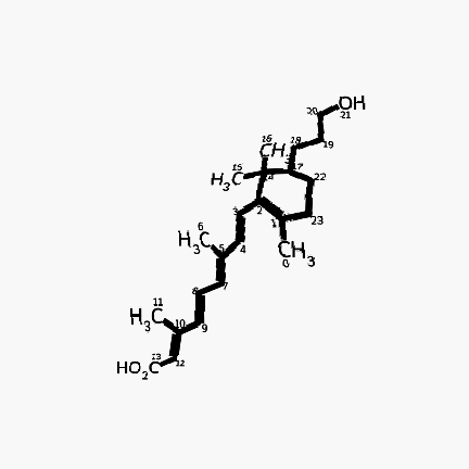 CC1=C(/C=C/C(C)=C/C=C/C(C)=C/C(=O)O)C(C)(C)C(CCCO)CC1